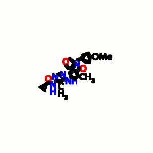 COc1ccc(CN2C(=O)c3c(C)cc(Nc4ncnc(NC(=O)C5CC5)c4C)cc3C23CCOCC3)cc1